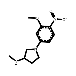 CNC1CCN(c2ccc([N+](=O)[O-])c(OC)c2)C1